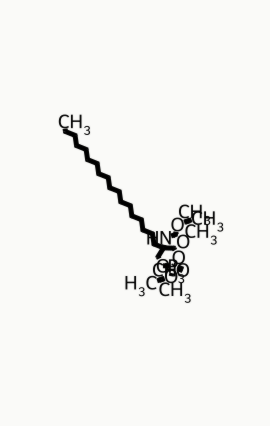 CCCCCCCCCCCCCCCCCCC1(NC(=O)OC(C)(C)C)COP(=O)(OC(C)(C)C)OC1